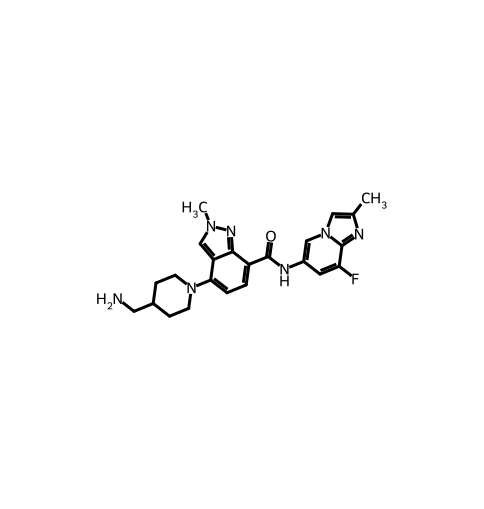 Cc1cn2cc(NC(=O)c3ccc(N4CCC(CN)CC4)c4cn(C)nc34)cc(F)c2n1